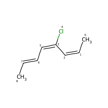 C\C=C/C(Cl)=C\C=C\C